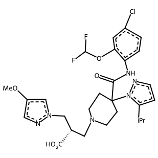 COc1cnn(C[C@H](CN2CCC(C(=O)Nc3ccc(Cl)cc3OC(F)F)(n3nccc3C(C)C)CC2)C(=O)O)c1